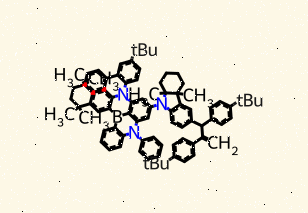 C=C(c1ccc(C(C)(C)C)cc1)C(c1ccc(C(C)(C)C)cc1)c1ccc2c(c1)C1(C)CCCCC1(C)N2c1cc2c3c(c1)N(c1ccc(C(C)(C)C)cc1-c1ccccc1)c1cc4c(cc1B3c1ccccc1N2c1ccccc1)C(C)(C)CCC4(C)C